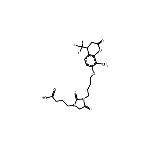 Cc1c(OCCCCN2C(=O)CN(CCCC(=O)O)C2=O)ccc2c1OC(=O)CC2C(F)(F)F